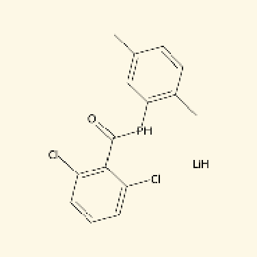 Cc1ccc(C)c(PC(=O)c2c(Cl)cccc2Cl)c1.[LiH]